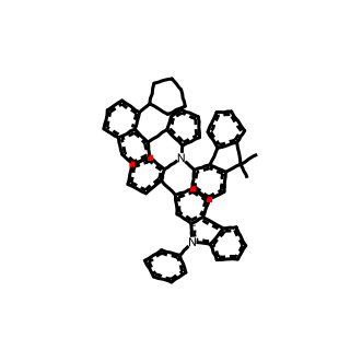 CC1(C)c2ccccc2-c2c(N(c3ccccc3-c3ccc4c5ccccc5n(-c5ccccc5)c4c3)c3ccccc3-c3cccc4cccc(C5CCCCC5)c34)cccc21